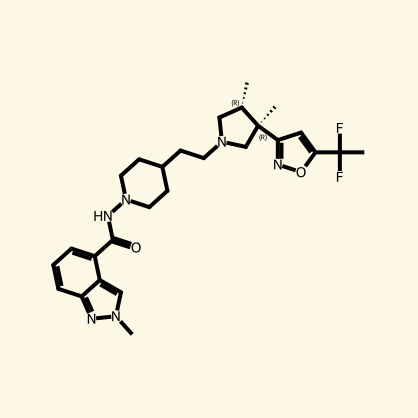 C[C@H]1CN(CCC2CCN(NC(=O)c3cccc4nn(C)cc34)CC2)C[C@]1(C)c1cc(C(C)(F)F)on1